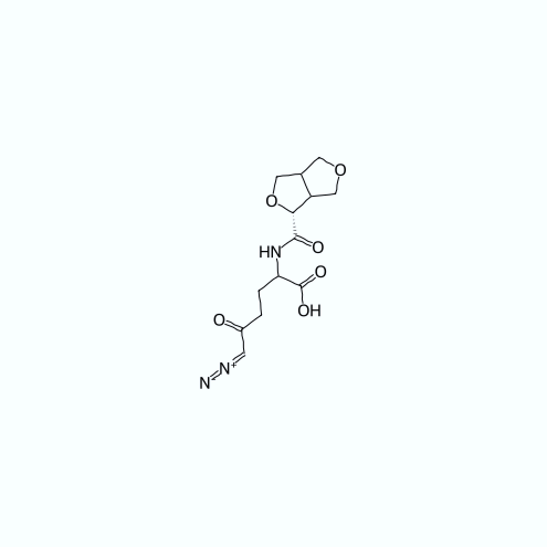 [N-]=[N+]=CC(=O)CCC(NC(=O)[C@@H]1OCC2COCC21)C(=O)O